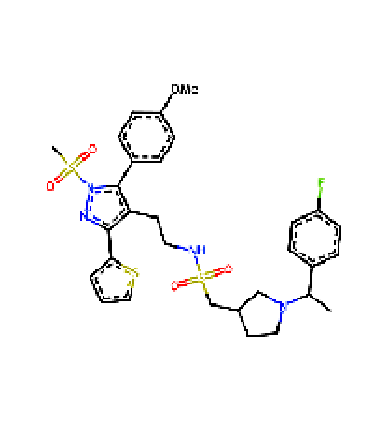 COc1ccc(-c2c(CCNS(=O)(=O)CC3CCN(C(C)c4ccc(F)cc4)C3)c(-c3cccs3)nn2S(C)(=O)=O)cc1